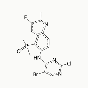 Cc1nc2ccc(Nc3nc(Cl)ncc3Br)c(P(C)(C)=O)c2cc1F